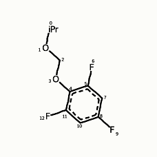 CC(C)OCOc1c(F)cc(F)cc1F